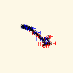 O=C(O)CN1CCN(CC(=O)O)CCN(CC(O)O)CCN(CC(=O)NCCOCCOCCNC(=O)CCCC(=O)Nc2ccc(-c3nnc(-c4ccccn4)nn3)nc2)CC1